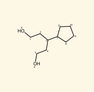 OCCC(CCO)C1CCCC1